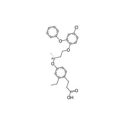 CCc1cc(O[C@H](C)CCOc2ccc(Cl)cc2Oc2ccccc2)ccc1CCC(=O)O